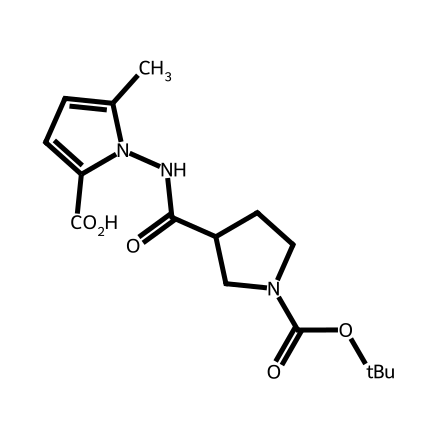 Cc1ccc(C(=O)O)n1NC(=O)C1CCN(C(=O)OC(C)(C)C)C1